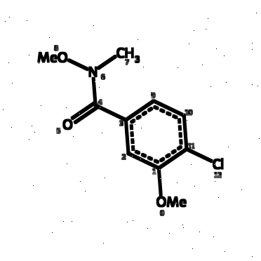 COc1cc(C(=O)N(C)OC)ccc1Cl